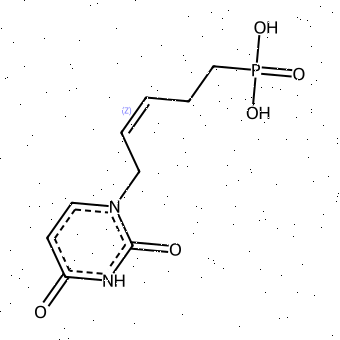 O=c1ccn(C/C=C\CCP(=O)(O)O)c(=O)[nH]1